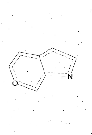 c1cc2ccocc-2n1